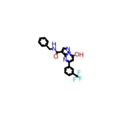 O=C(NCc1ccccc1)c1cnn2c(O)cc(-c3cccc(C(F)(F)F)c3)nc12